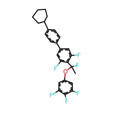 CC(F)(Oc1cc(F)c(F)c(F)c1)c1c(F)cc(-c2ccc(C3CCCCC3)cc2)cc1F